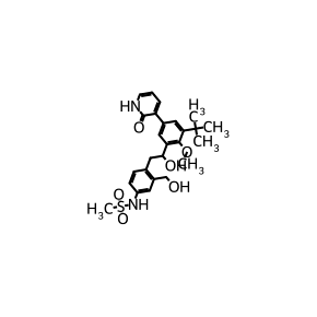 COc1c(C(O)Cc2ccc(NS(C)(=O)=O)cc2CO)cc(-c2ccc[nH]c2=O)cc1C(C)(C)C